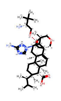 CC(C)[C@@H](C)[C@@]1(C)CC[C@]2(C)[C@H]3CC[C@@H]4[C@@]5(COC[C@@]4(C)[C@@H](OC[C@H](N)C(C)(C)C)[C@H](n4cnc(N)n4)C5)C3=CC[C@@]2(C)[C@@H]1C(=O)O